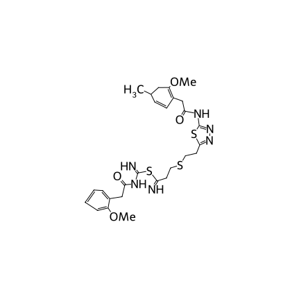 COC1=C(CC(=O)Nc2nnc(CCSCCC(=N)SC(=N)NC(=O)Cc3ccccc3OC)s2)C=CC(C)C1